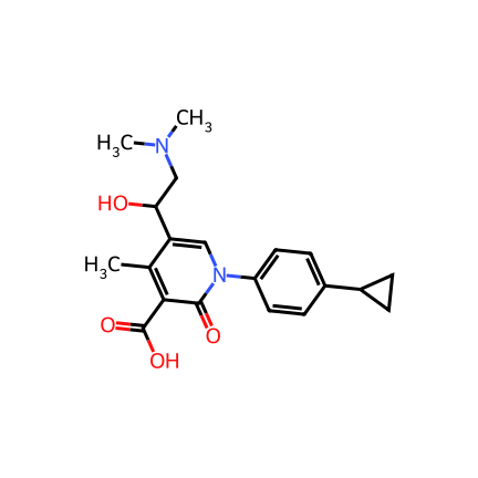 Cc1c(C(O)CN(C)C)cn(-c2ccc(C3CC3)cc2)c(=O)c1C(=O)O